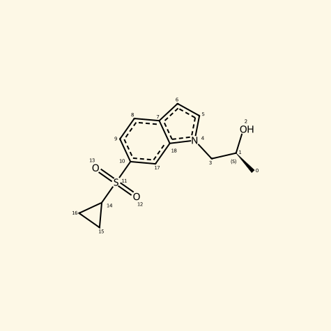 C[C@H](O)Cn1ccc2ccc(S(=O)(=O)C3CC3)cc21